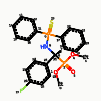 CCOP(=O)(OCC)[C@@](C)(NP(=S)(c1ccccc1)c1ccccc1)c1ccc(F)cc1